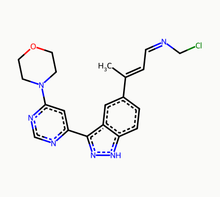 C/C(=C\C=N/CCl)c1ccc2[nH]nc(-c3cc(N4CCOCC4)ncn3)c2c1